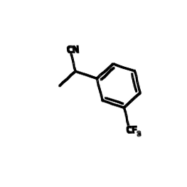 CC(C#N)c1cccc(C(F)(F)F)c1